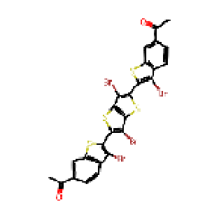 CC(=O)c1ccc2c(Br)c(-c3sc4c(Br)c(-c5sc6cc(C(C)=O)ccc6c5Br)sc4c3Br)sc2c1